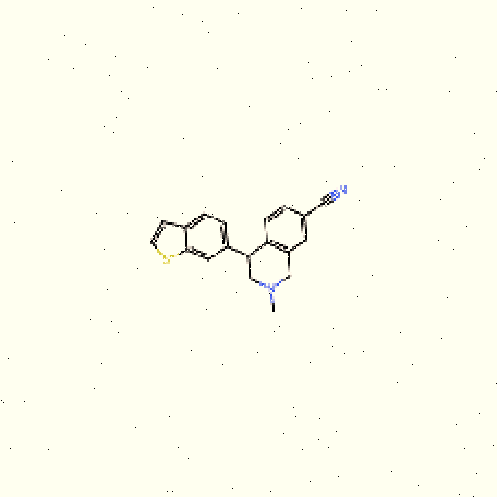 CN1Cc2cc(C#N)ccc2C(c2ccc3ccsc3c2)C1